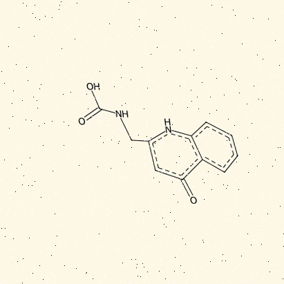 O=C(O)NCc1cc(=O)c2ccccc2[nH]1